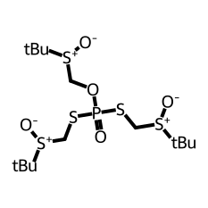 CC(C)(C)[S+]([O-])COP(=O)(SC[S+]([O-])C(C)(C)C)SC[S+]([O-])C(C)(C)C